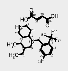 CCC(CC)CN(Cc1cc(F)ccc1C(F)(F)F)C1CCNCC1.O=C(O)C=CC(=O)O